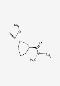 CN(C)C(=O)[C@H]1CCC[C@H](C(=O)OC(C)(C)C)C1